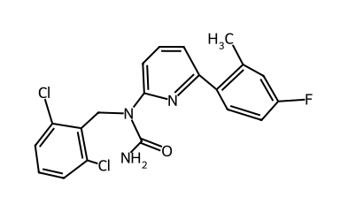 Cc1cc(F)ccc1-c1cccc(N(Cc2c(Cl)cccc2Cl)C(N)=O)n1